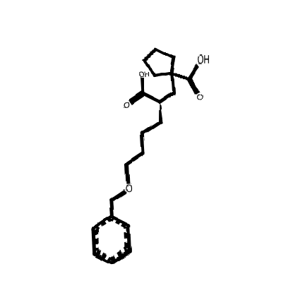 O=C(O)[C@H](CCCCOCc1ccccc1)CC1(C(=O)O)CCCC1